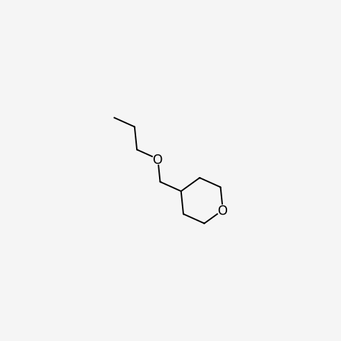 CCCOCC1CCOCC1